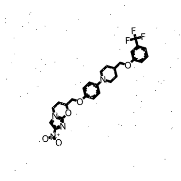 O=[N+]([O-])c1cn2c(n1)OC(COc1ccc(N3CCC(COc4cccc(C(F)(F)F)c4)CC3)cc1)CC2